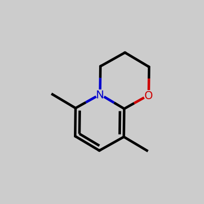 CC1=C=CC(C)=C2OCCCN12